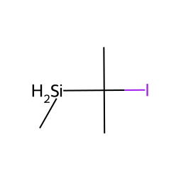 C[SiH2]C(C)(C)I